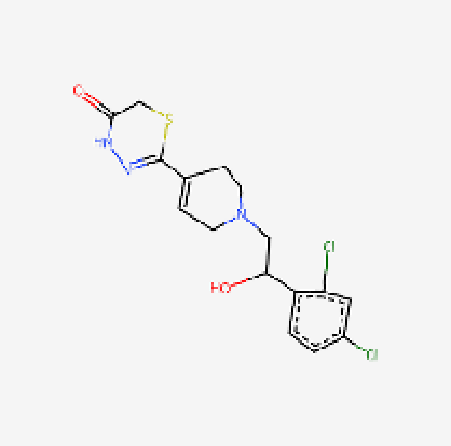 O=C1CSC(C2=CCN(CC(O)c3ccc(Cl)cc3Cl)CC2)=NN1